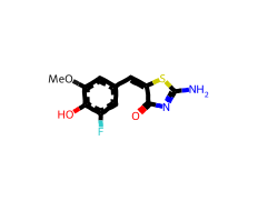 COc1cc(/C=C2/SC(N)=NC2=O)cc(F)c1O